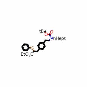 CCCCCCCN(CCc1ccc(CC(Sc2ccccc2)C(=O)OCC)cc1)C(=O)OC(C)(C)C